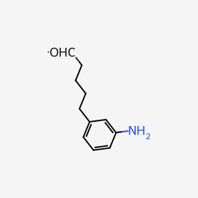 Nc1cccc(CCCC[C]=O)c1